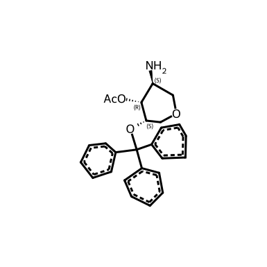 CC(=O)O[C@H]1[C@@H](OC(c2ccccc2)(c2ccccc2)c2ccccc2)COC[C@@H]1N